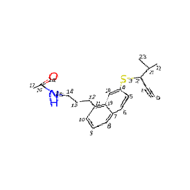 C#CC(Sc1ccc2cccc(CCCNC(C)=O)c2c1)C(C)C